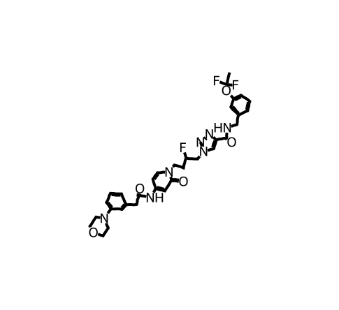 CC(F)(F)Oc1cccc(CNC(=O)c2cn(CC(F)CCn3ccc(NC(=O)Cc4cccc(N5CCOCC5)c4)cc3=O)nn2)c1